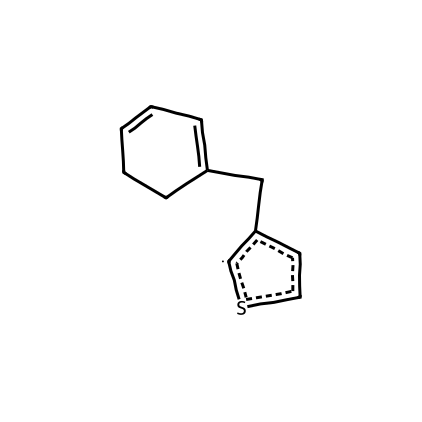 [c]1sccc1CC1=CC=CCC1